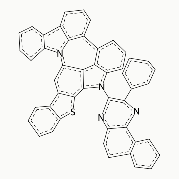 c1ccc(-c2nc3c(ccc4ccccc43)nc2-n2c3cccc4c5cccc6c7ccccc7n(c7cc8c9ccccc9sc8c2c7c43)c56)cc1